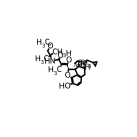 COCC(C)(C)NC(=O)/C(C)=C(\O)[C@@H]1Oc2c(O)ccc3c2[C@@]12CCN(CC1CC1)[C@H](C3)[C@@]2(C)O